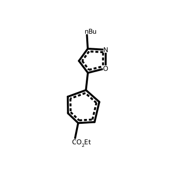 CCCCc1cc(-c2ccc(C(=O)OCC)cc2)on1